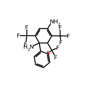 NC1=C(C(F)(F)F)C(C(F)(F)F)C(N)(c2ccccc2)C(C(F)(F)F)=C1